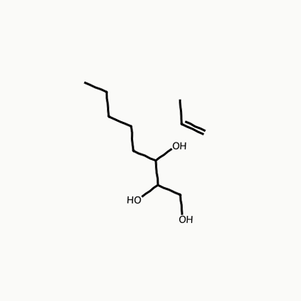 C=CC.CCCCCC(O)C(O)CO